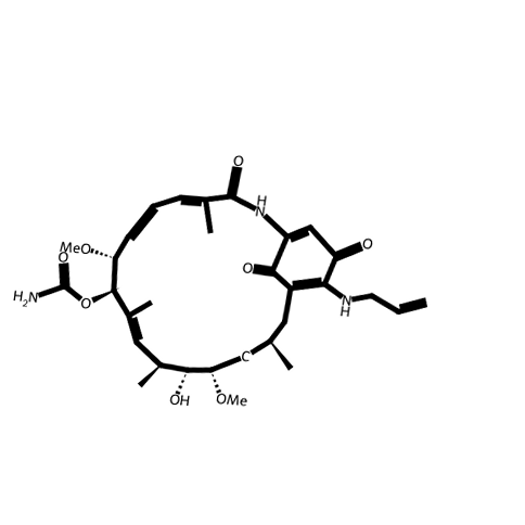 C=CCNC1=C2C[C@@H](C)C[C@H](OC)[C@H](O)[C@@H](C)/C=C(\C)[C@@H](OC(N)=O)[C@H](OC)/C=C\C=C(/C)C(=O)NC(=CC1=O)C2=O